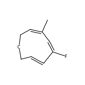 CC1=C/CCC/C=C/C(F)=C\1